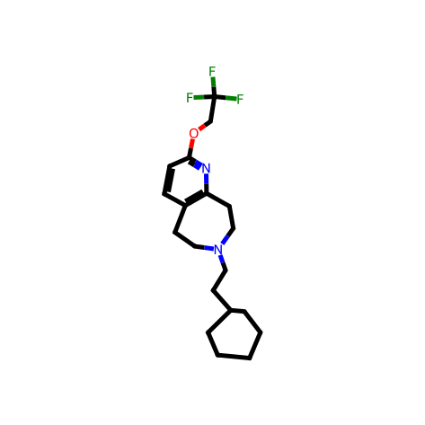 FC(F)(F)COc1ccc2c(n1)CCN(CCC1CCCCC1)CC2